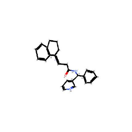 O=C(C/C=C1\CCCc2[c]cccc21)NC(c1ccccc1)c1cccnc1